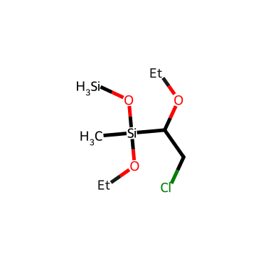 CCOC(CCl)[Si](C)(O[SiH3])OCC